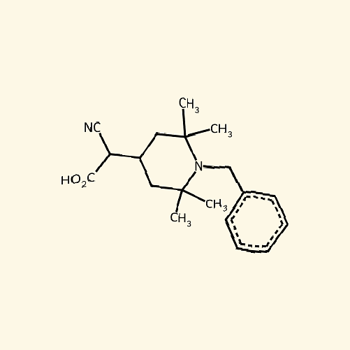 CC1(C)CC(C(C#N)C(=O)O)CC(C)(C)N1Cc1ccccc1